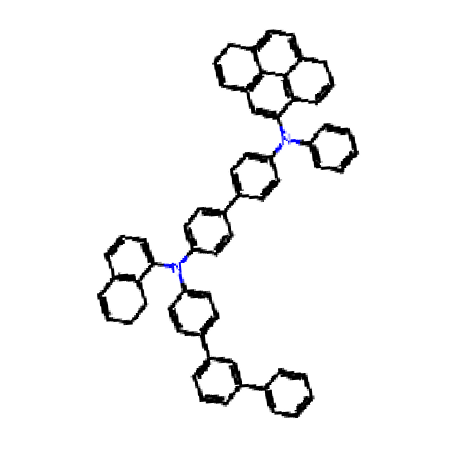 C1=Cc2cccc(N(c3ccc(-c4ccc(N(c5ccccc5)c5cc6c7c(ccc8c7c5C=CC8)CC=C6)cc4)cc3)c3ccc(-c4cccc(-c5ccccc5)c4)cc3)c2CC1